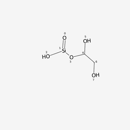 O=[Si](O)OC(O)CO